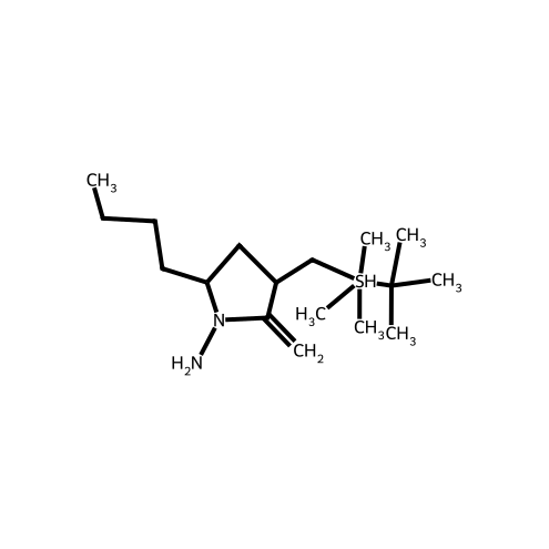 C=C1C(C[SH](C)(C)(C)C(C)(C)C)CC(CCCC)N1N